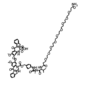 COc1cc2c(cc1OOc1cc3c(cc1OC)C(=O)N1c4ccccc4C[C@H]1CN3C(=O)OCc1ccc(NC(=O)[C@H](C)NC(=O)[C@@H](NC(=O)CCOCCOCCOCCOCCOCCOCCOCCOCCOCCC(N)=O)C(C)C)cc1)NC(S(=O)(=O)O)[C@@H]1Cc3ccccc3N1C2=O